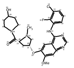 COc1cc2ncnc(Nc3cccc(Cl)c3F)c2cc1O[C@@H]1C[C@H](C(=O)N2CCC(O)CC2)N(C)C1